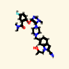 CC(O)Cn1c(C#N)cc2ccc(CN3CCN(c4c(Oc5ccc(F)cc5C(=O)N(C)C)ncn4C)CC3)cc21